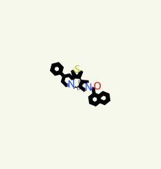 O=C(c1cccc2ccccc12)N1C[C@H](CN2CCC(c3ccccc3)CC2)[C@@H](c2ccsc2)C1